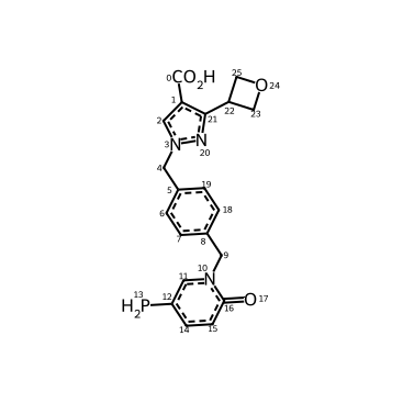 O=C(O)c1cn(Cc2ccc(Cn3cc(P)ccc3=O)cc2)nc1C1COC1